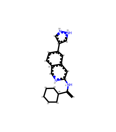 C=C(Nc1cc2cc(-c3cn[nH]c3)ccc2cn1)C1CCCCC1